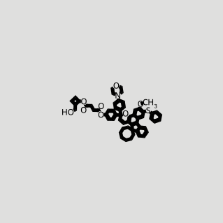 COc1cc2c3c(c4c(c2cc1Sc1ccccc1)-c1ccccc1C41CCCCCCC1)C=CC(c1ccc(OC(=O)CCC(=O)OC2CCC2CO)cc1)(c1ccc(N2CCOCC2)cc1)O3